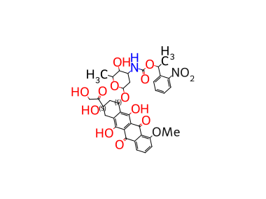 COc1cccc2c1C(=O)c1c(O)c3c(c(O)c1C2=O)C[C@@](O)(C(=O)CO)C[C@@H]3OC1CC(NC(=O)OC(C)c2ccccc2[N+](=O)[O-])C(O)C(C)O1